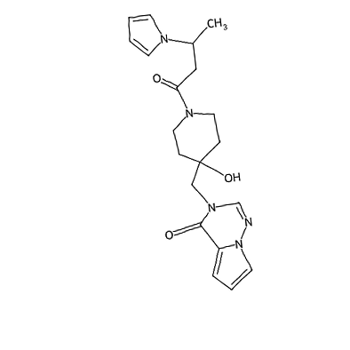 CC(CC(=O)N1CCC(O)(Cn2cnn3cccc3c2=O)CC1)n1cccc1